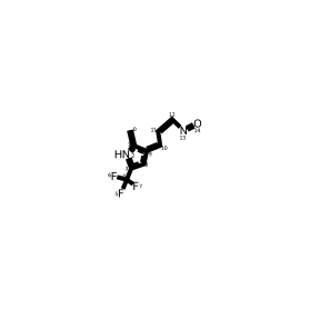 C=c1[nH]c(C(F)(F)F)c/c1=C/C=C\N=O